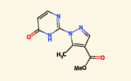 COC(=O)c1cnn(-c2nccc(=O)[nH]2)c1C